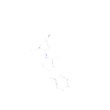 CC(N[C@@H](C=O)Cc1ccccc1)N[C@H]1C(=O)O[C@@H](C)[C@@H]1C